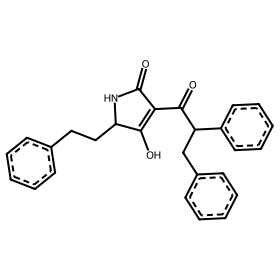 O=C1NC(CCc2ccccc2)C(O)=C1C(=O)C(Cc1ccccc1)c1ccccc1